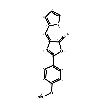 CCCCOc1ccc(C2=N/C(=C/c3cccs3)C(=O)O2)cc1